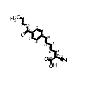 CCCOC(=O)c1ccc(C=CC=CC=C(C#N)C(=O)O)cc1